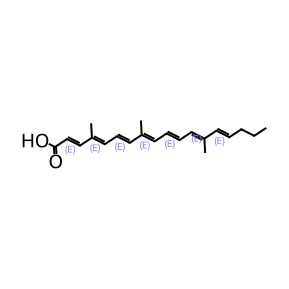 CCC/C=C/C(C)=C/C=C/C=C(C)/C=C/C=C(C)/C=C/C(=O)O